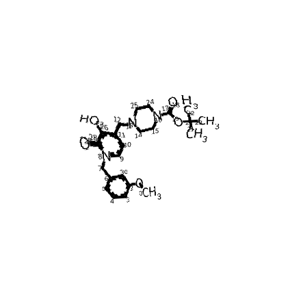 COc1cccc(Cn2ccc(CN3CCN(C(=O)OC(C)(C)C)CC3)c(O)c2=O)c1